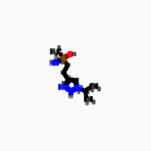 CC(C)[n+]1cc(CCS(C)(=N)=O)[nH]n1